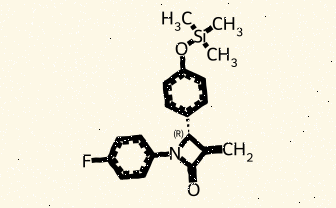 C=C1C(=O)N(c2ccc(F)cc2)[C@@H]1c1ccc(O[Si](C)(C)C)cc1